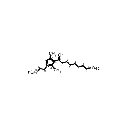 CCCCCCCCCCCCCCCCCC(=O)c1c(C)cn(CCCCCCCCCCCC)c1C